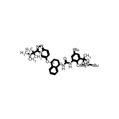 COc1c(NC(=O)N[C@H]2CC[C@@H](Oc3ccc4nnc(C(C)(C)N(C)C)n4c3)c3ccccc32)cc(C(C)(C)C)cc1C(C)(C)O[SiH2]C(C)(C)C